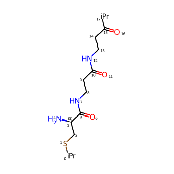 CC(C)SC[C@@H](N)C(=O)NCCC(=O)NCCC(=O)C(C)C